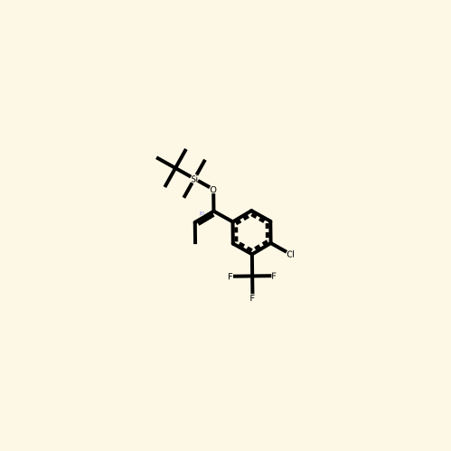 C/C=C(/O[Si](C)(C)C(C)(C)C)c1ccc(Cl)c(C(F)(F)F)c1